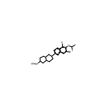 CCCCCCCC1CCC2CC(c3ccc4c(F)c(OC(F)F)c(F)cc4c3)CCC2C1